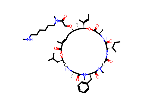 C/C=C(\C)[C@H]1OC(=O)[C@@H](C)NC(=O)[C@H](C(C)CC)NC(=O)CN(C)C(=O)[C@@H](Cc2ccccc2)N(C)C(=O)[C@H](C)NC[C@@H](CC(C)C)OC(=O)/C(C)=C/C[C@H](OCC(=O)N(C)CCCCCCNC)[C@@H]1C